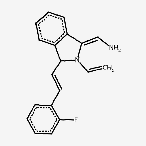 C=CN1/C(=C\N)c2ccccc2C1/C=C/c1ccccc1F